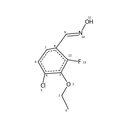 CCOc1c(Cl)ccc(/C=N/O)c1F